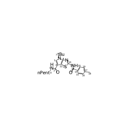 CCCCCNC(=O)c1cn(C(C)(C)C)c2nc(NC(=O)c3ccc(C)cc3)sc12